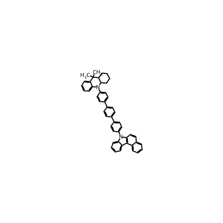 CC1(C)c2ccccc2N(c2ccc(-c3ccc(-c4ccc(-n5c6ccccc6c6c7ccccc7ccc65)cc4)cc3)cc2)C2CCCCC21